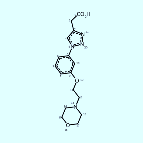 O=C(O)Cc1cn(-c2cccc(OCCN3CCOCC3)c2)nn1